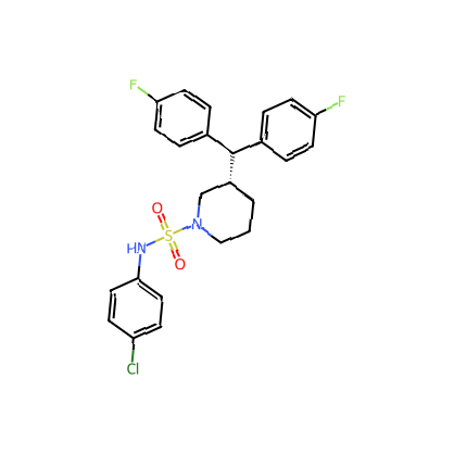 O=S(=O)(Nc1ccc(Cl)cc1)N1CCC[C@@H](C(c2ccc(F)cc2)c2ccc(F)cc2)C1